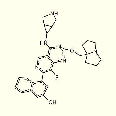 Oc1cc(-c2ncc3c(NC4C5CNCC54)nc(OCC45CCCN4CCC5)nc3c2F)c2ccccc2c1